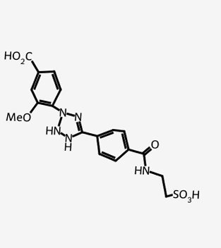 COc1cc(C(=O)O)ccc1N1N=C(c2ccc(C(=O)NCCS(=O)(=O)O)cc2)NN1